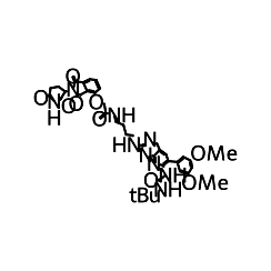 COc1cc(OC)cc(-c2cc3cnc(NCCCCNC(=O)COc4cccc5c4C(=O)N(C4CCC(=O)NC4=O)C5=O)nc3nc2NC(=O)NC(C)(C)C)c1